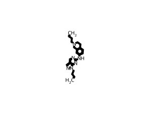 C=CCCN1CCc2ccc(Nc3ncc4cnn(CCC=C)c4n3)cc2C1